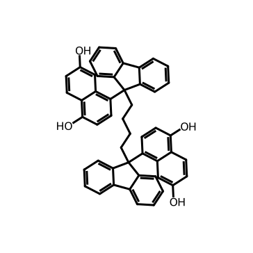 Oc1ccc2c(O)ccc(C3(CCCCC4(c5ccc(O)c6ccc(O)cc56)c5ccccc5-c5ccccc54)c4ccccc4-c4ccccc43)c2c1